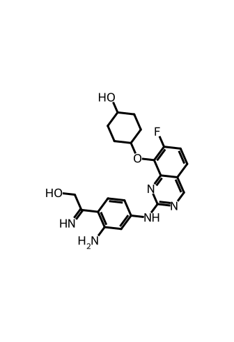 N=C(CO)c1ccc(Nc2ncc3ccc(F)c(OC4CCC(O)CC4)c3n2)cc1N